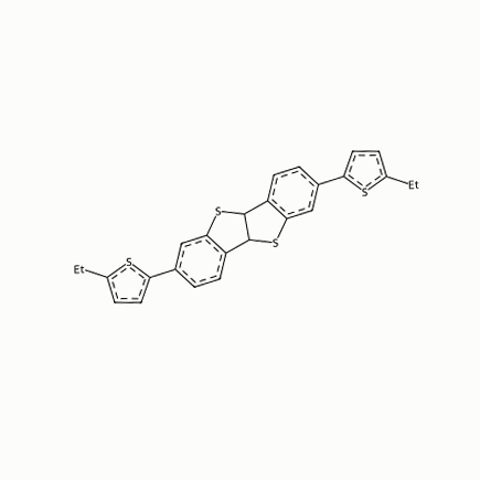 CCc1ccc(-c2ccc3c(c2)SC2c4ccc(-c5ccc(CC)s5)cc4SC32)s1